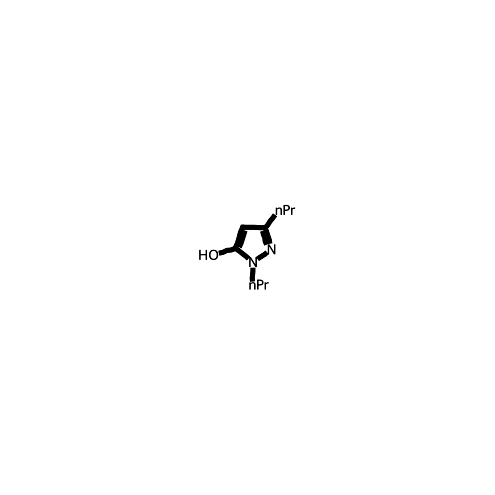 CCCc1cc(O)n(CCC)n1